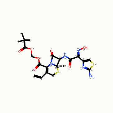 C=CC1=C(C(=O)OCOC(=O)C(C)(C)C)N2C(=O)C(NC(=O)C(=NO)c3csc(N)n3)[C@@H]2SC1